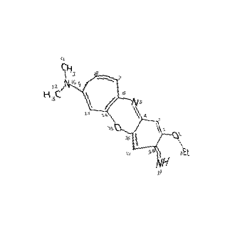 CCOc1cc2nc3ccc(N(C)C)cc3oc-2cc1=N